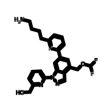 NCCCCc1cccc(-c2cc(COC(F)F)c3cnn(-c4cccc(CO)n4)c3c2)n1